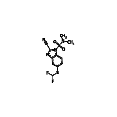 CN(C)S(=O)(=O)n1c(C#N)nc2cc(SC(F)F)ccc21